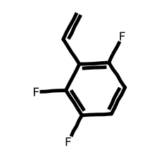 C=Cc1c(F)ccc(F)c1F